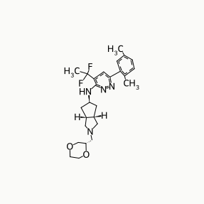 Cc1ccc(C)c(-c2cc(C(C)(F)F)c(N[C@H]3C[C@@H]4CN(C[C@H]5COCCO5)C[C@@H]4C3)nn2)c1